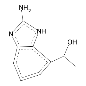 CC(O)c1cccc2nc(N)[nH]c12